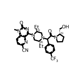 CC[C@H]1CN(C(C(=O)N2CCC[C@H]2CO)c2ccc(C(F)(F)F)cc2)[C@H](CC)CN1c1nc(=O)n(C)c2ccc(C#N)nc12